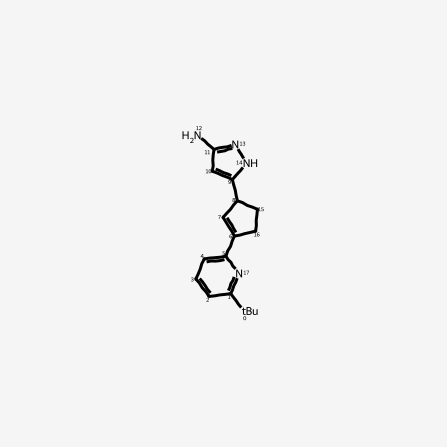 CC(C)(C)c1cccc(C2=CC(c3cc(N)n[nH]3)CC2)n1